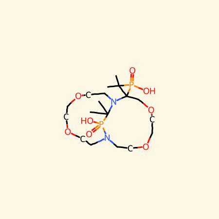 CC1(C)N2CCOCCOCCN(CCOCCOCC23C(C)(C)P3(=O)O)P1(=O)O